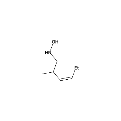 CC/C=C\C(C)CNO